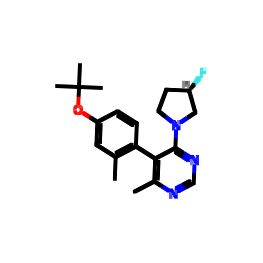 Cc1cc(OC(C)(C)C)ccc1-c1c(C)ncnc1N1CC[C@@H](F)C1